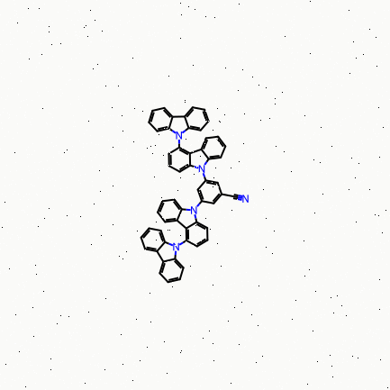 N#Cc1cc(-n2c3ccccc3c3c(-n4c5ccccc5c5ccccc54)cccc32)cc(-n2c3ccccc3c3c(-n4c5ccccc5c5ccccc54)cccc32)c1